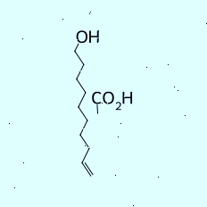 C=CCCCCCCCCO.CC(=O)O